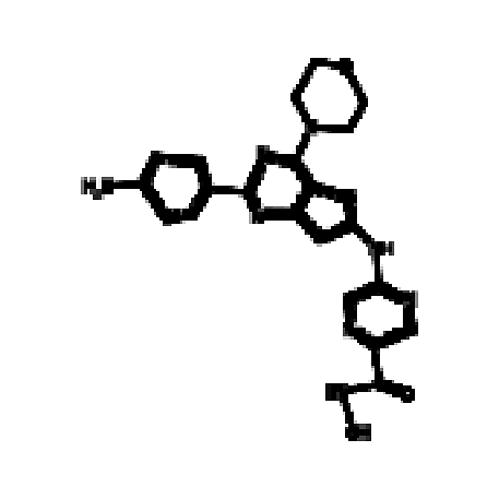 Nc1ccc(-c2nc(N3CCOCC3)c3sc(Nc4cnc(C(=O)NO)cn4)cc3n2)cc1